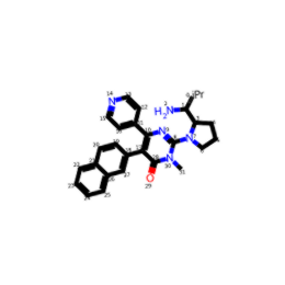 CC(C)C(N)C1CCCN1c1nc(-c2ccncc2)c(-c2ccc3ccccc3c2)c(=O)n1C